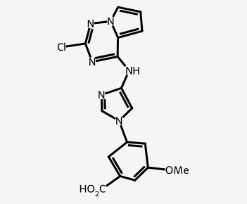 COc1cc(C(=O)O)cc(-n2cnc(Nc3nc(Cl)nn4cccc34)c2)c1